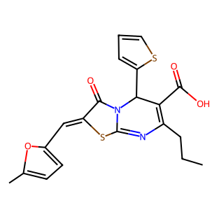 CCCC1=C(C(=O)O)C(c2cccs2)n2c(s/c(=C\c3ccc(C)o3)c2=O)=N1